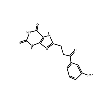 CSc1cccc(C(=O)CSc2nc3[nH]c(=S)[nH]c(=O)c3[nH]2)c1